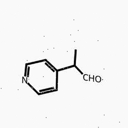 CC([C]=O)c1ccncc1